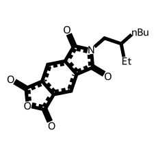 CCCCC(CC)Cn1c(=O)c2cc3c(=O)oc(=O)c3cc2c1=O